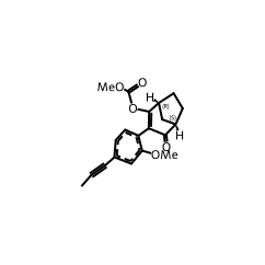 CC#Cc1ccc(C2=C(OC(=O)OC)[C@@H]3CC[C@@H](C3)C2=O)c(OC)c1